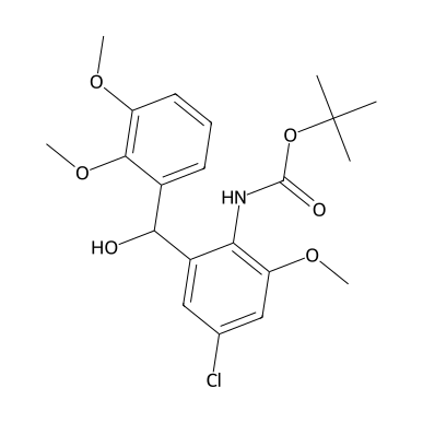 COc1cc(Cl)cc(C(O)c2cccc(OC)c2OC)c1NC(=O)OC(C)(C)C